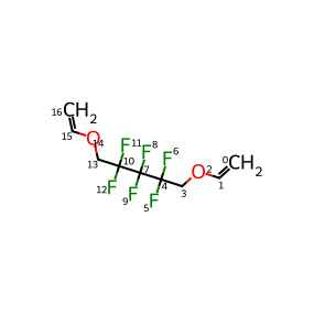 C=COCC(F)(F)C(F)(F)C(F)(F)COC=C